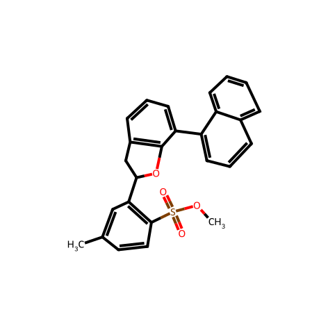 COS(=O)(=O)c1ccc(C)cc1C1Cc2cccc(-c3cccc4ccccc34)c2O1